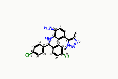 Cc1nnn(C)c1-c1ccc(N)c(NC(c2ccc(Cl)cc2)c2ccc(Cl)cc2)c1